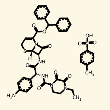 CCN1CCN(C(=O)N[C@@H](C(=O)N[C@@H]2C(=O)N3C(C(=O)OC(c4ccccc4)c4ccccc4)=CCS[C@@H]23)c2ccc(N)cc2)C(=O)C1=O.Cc1ccc(S(=O)(=O)O)cc1